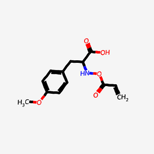 C=CC(=O)ONC(Cc1ccc(OC)cc1)C(=O)O